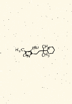 Cc1onc(CCC(C)(C)C2CCCCC2)c1C(C)(C)C